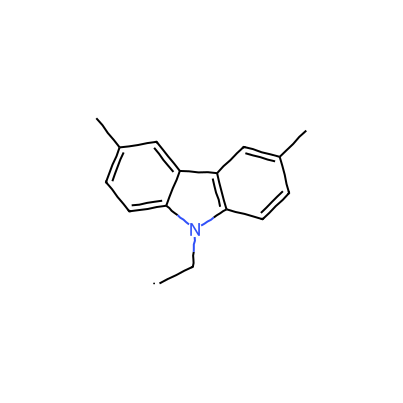 [CH2]Cn1c2ccc(C)cc2c2cc(C)ccc21